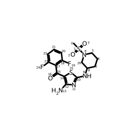 CS(=O)(=O)N1CCCC(Nc2nc(N)c(C(=O)c3c(F)cccc3F)s2)C1